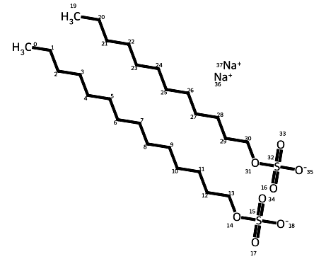 CCCCCCCCCCCCCCOS(=O)(=O)[O-].CCCCCCCCCCCCOS(=O)(=O)[O-].[Na+].[Na+]